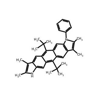 Cc1[nH]c2cc3c(C(C)(C)C)c4cc5c(C)c(C)n(-c6ccccc6)c5cc4c(C(C)(C)C)c3cc2c1C